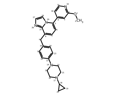 COc1cc(-c2ccc(Cc3ccc(N4CCN(C5CC5)CC4)cc3)c3nccn23)ccn1